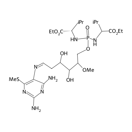 CCOC(=O)C(NP(=O)(N[C@H](C(=O)OCC)C(C)C)OCC(OC)C(O)C(O)C/C=N\c1c(N)nc(N)nc1SC)C(C)C